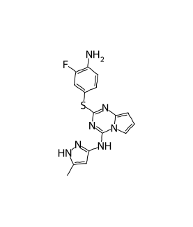 Cc1cc(Nc2nc(Sc3ccc(N)c(F)c3)nc3cccn23)n[nH]1